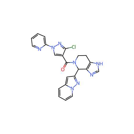 O=C(c1cn(-c2ccccn2)nc1Cl)N1CCc2[nH]cnc2C1c1cc2ccccn2n1